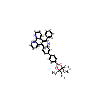 CC1(C)OB(c2ccc(-c3ccc4c(c3)nc(-c3ccccc3)c3c5cccnc5c5ncccc5c43)cc2)OC1(C)C